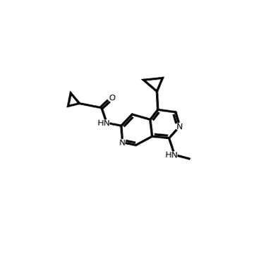 CNc1ncc(C2CC2)c2cc(NC(=O)C3CC3)ncc12